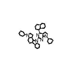 c1ccc(-n2ccc3c2ccc2c4ccccc4n(-c4nc(-c5cccc6ccccc56)c5ccn(-c6ccccc6)c5n4)c23)cc1